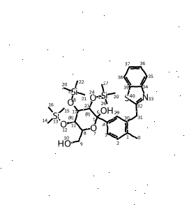 Cc1ccc(C2(O)OC(CO)[C@@H](O[Si](C)(C)C)C(O[Si](C)(C)C)[C@H]2O[Si](C)(C)C)cc1Cc1nc2ccccc2s1